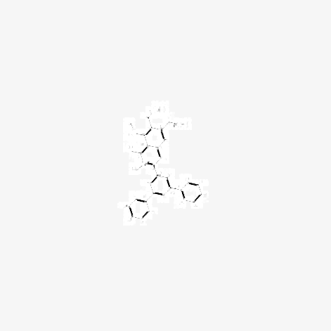 COc1c(CO)c(CO)cc2cc(-c3cc(-c4ccccc4)cc(-c4ccccc4)c3)[n+](C)c(C)c12